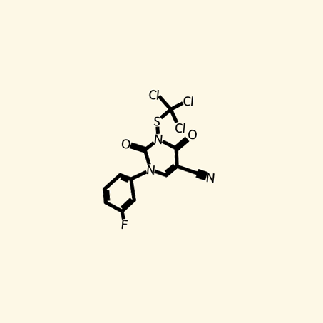 N#Cc1cn(-c2cccc(F)c2)c(=O)n(SC(Cl)(Cl)Cl)c1=O